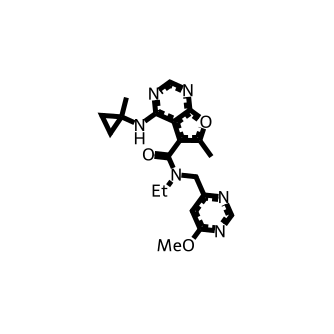 CCN(Cc1cc(OC)ncn1)C(=O)c1c(C)oc2ncnc(NC3(C)CC3)c12